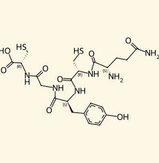 NC(=O)CC[C@H](N)C(=O)N[C@@H](CS)C(=O)N[C@@H](Cc1ccc(O)cc1)C(=O)NCC(=O)N[C@@H](CS)C(=O)O